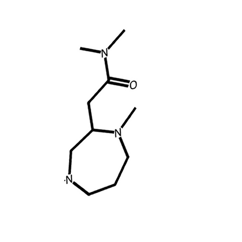 CN(C)C(=O)CC1C[N]CCCN1C